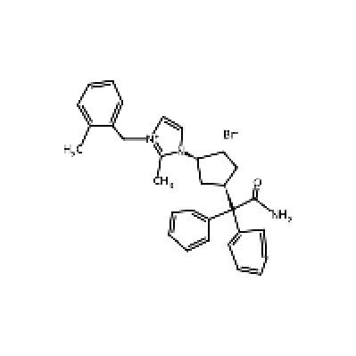 Cc1ccccc1C[n+]1ccn([C@H]2CC[C@@H](C(C(N)=O)(c3ccccc3)c3ccccc3)C2)c1C.[Br-]